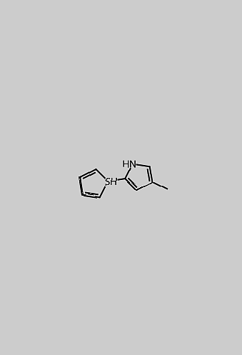 Cc1c[nH]c([SH]2C=CC=C2)c1